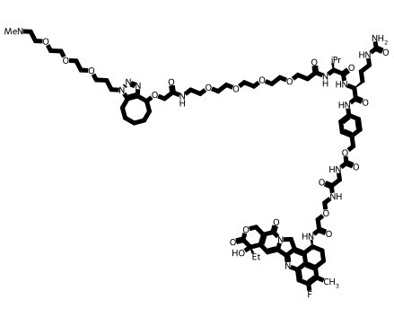 CC[C@@]1(O)C(=O)OCc2c1cc1n(c2=O)Cc2c-1nc1cc(F)c(C)c3c1c2[C@@H](NC(=O)COCNC(=O)CNC(=O)OCc1ccc(NC(=O)[C@H](CCCNC(N)=O)NC(=O)[C@@H](NC(=O)CCOCCOCCOCCOCCNC(=O)COC2CCCCCc4c2nnn4CCCOCCOCCOCCNC)C(C)C)cc1)CC3